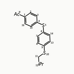 CC(=O)c1ccc(Sc2ccc(SCC(C)C)cc2)cc1